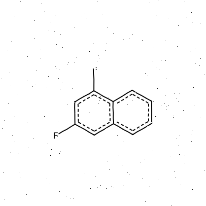 [CH]c1cc(F)cc2ccccc12